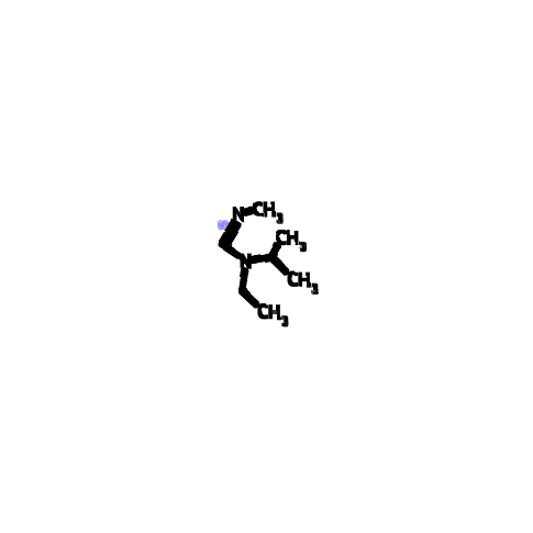 CCN(/C=N\C)C(C)C